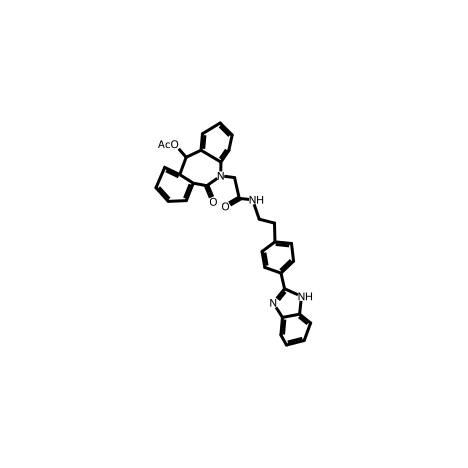 CC(=O)OC1c2ccccc2C(=O)N(CC(=O)NCCc2ccc(-c3nc4ccccc4[nH]3)cc2)c2ccccc21